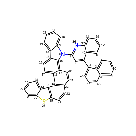 c1ccc2c(-c3cc(-n4c5ccccc5c5ccc6c(ccc7ccc8sc9ccccc9c8c76)c54)nc4ccccc34)cccc2c1